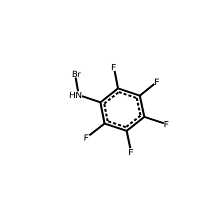 Fc1c(F)c(F)c(NBr)c(F)c1F